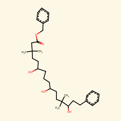 CC(C)(CCC(O)CCCC(O)CCC(C)(C)C(O)CCc1ccccc1)CC(=O)OCc1ccccc1